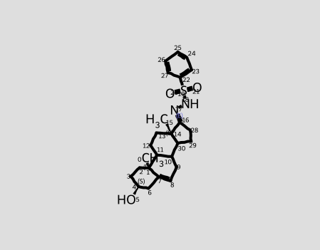 C[C@]12CC[C@H](O)CC1=CCC1C2CC[C@]2(C)/C(=N/NS(=O)(=O)c3ccccc3)CCC12